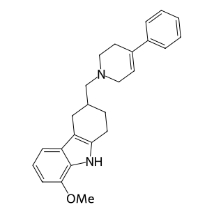 COc1cccc2c3c([nH]c12)CCC(CN1CC=C(c2ccccc2)CC1)C3